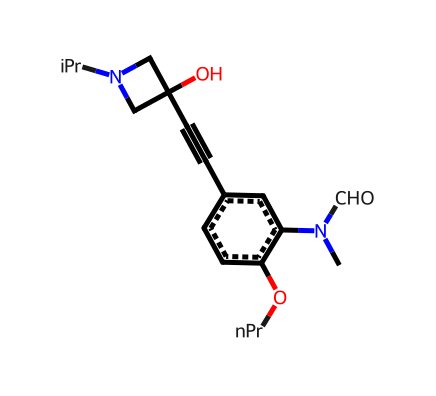 CCCOc1ccc(C#CC2(O)CN(C(C)C)C2)cc1N(C)C=O